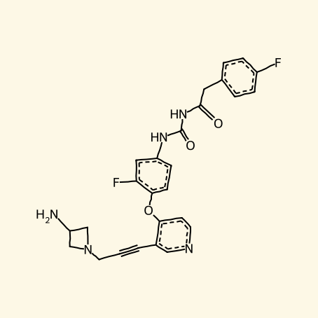 NC1CN(CC#Cc2cnccc2Oc2ccc(NC(=O)NC(=O)Cc3ccc(F)cc3)cc2F)C1